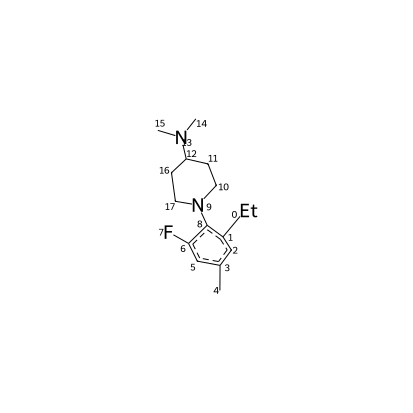 CCc1cc(C)cc(F)c1N1CCC(N(C)C)CC1